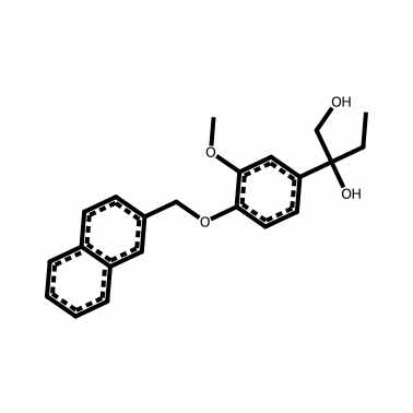 CCC(O)(CO)c1ccc(OCc2ccc3ccccc3c2)c(OC)c1